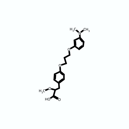 COC(Cc1ccc(OCCCOc2cccc(N(C)C)c2)cc1)C(=O)O